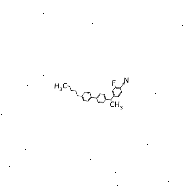 CCCCCc1ccc(-c2ccc(C(C)c3ccc(C#N)c(F)c3)cc2)cc1